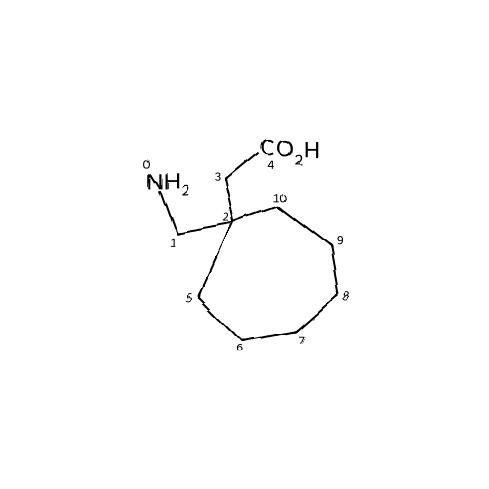 NCC1(CC(=O)O)CCCCCC1